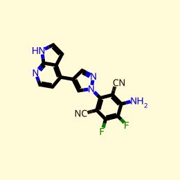 N#Cc1c(N)c(F)c(F)c(C#N)c1-n1cc(-c2ccnc3[nH]ccc23)cn1